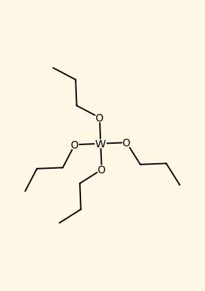 CCC[O][W]([O]CCC)([O]CCC)[O]CCC